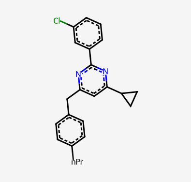 CCCc1ccc(Cc2cc(C3CC3)nc(-c3cccc(Cl)c3)n2)cc1